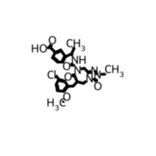 CCC(NC(=O)N1Cc2nn(CC)c(=O)n2CC(Cc2cc(Cl)ccc2OC)C1=O)c1cccc(C(=O)O)c1